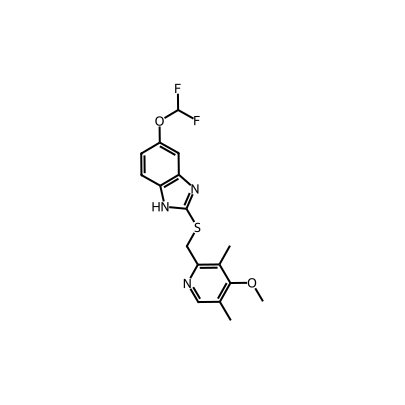 COc1c(C)cnc(CSc2nc3cc(OC(F)F)ccc3[nH]2)c1C